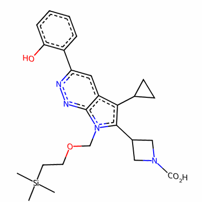 C[Si](C)(C)CCOCn1c(C2CN(C(=O)O)C2)c(C2CC2)c2cc(-c3ccccc3O)nnc21